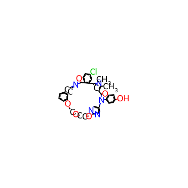 Cc1c2cc(n1C)-c1cc(Cl)ccc1C(=O)N1CCc3c(cccc3OCCOCCOc3ncc(cn3)N(c3ccc(O)cc3)C2=O)C1